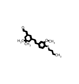 CCCCSc1ccc(/C=C/C2=CC(=C/C=O)/CC(C)(C)C2)cc1OC